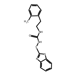 Cc1ccccc1CCNC(=O)NSc1nc2ccccc2s1